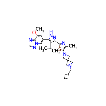 COc1cc(-c2[nH]nc(-c3nc(C)c(N4CC5(CN(CC6CCC6)C5)C4)s3)c2C(C)C)cn2ncnc12